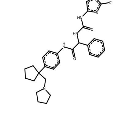 O=C(Nc1ccc(Cl)s1)NC(C(=O)Nc1ccc(C2(CN3CCCC3)CCCC2)cc1)c1ccccc1